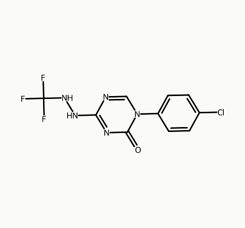 O=c1nc(NNC(F)(F)F)ncn1-c1ccc(Cl)cc1